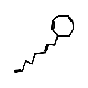 C=CCCC/C=C/CC1/C=C\C/C=C\CC1